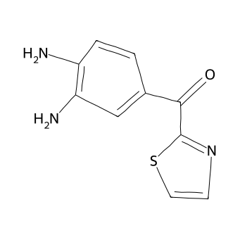 Nc1ccc(C(=O)c2nccs2)cc1N